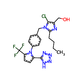 CCCCc1nc(CO)c(Cl)n1Cc1ccc(-n2c(-c3nnn[nH]3)ccc2C(F)(F)F)cc1